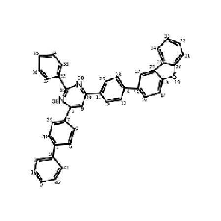 c1ccc(-c2ccc(-c3cc(-c4ccc(-c5ccc6sc7ccccc7c6c5)cc4)nc(-c4ccccc4)n3)cc2)cc1